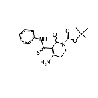 CC(C)(C)OC(=O)N1CCC(N)=C(C(=S)Nc2ccccc2)C1=O